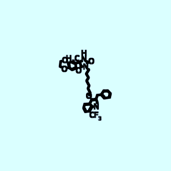 CC1(c2ccc3c(c2)OCCO3)NC(=O)N(CCCCCCCOc2c(Cc3ccccc3)cnc3c(C(F)(F)F)cccc23)C1=O